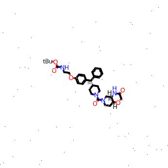 CC(C)(C)OC(=O)NCCOc1ccc([C@H](c2ccccc2)C2CCN(C(=O)N3CC[C@@H]4OCC(=O)N[C@@H]4C3)CC2)cc1